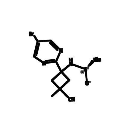 CC1(C#N)CC(N[S@+]([O-])C(C)(C)C)(c2ncc(Br)cn2)C1